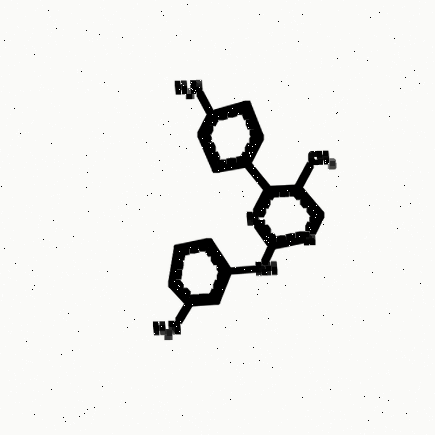 Cc1cnc(Nc2cccc(N)c2)nc1-c1ccc(N)cc1